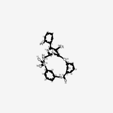 CCc1c2nc(nc1-c1ccccc1C(C)C)NS(=O)(=O)c1cccc(c1)NC(=O)c1cccc(c1)O2